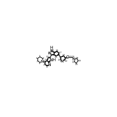 c1cc(N2CCCCC2)c2cc(-c3n[nH]c4ccc(-c5cncc(OCCN6CCCC6)c5)cc34)[nH]c2n1